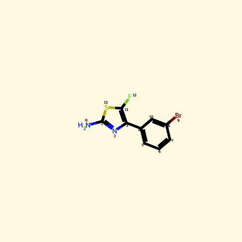 Nc1nc(-c2cccc(Br)c2)c(F)s1